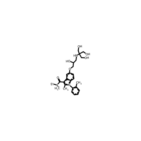 CCN(C)C(=O)c1c(C)n(-c2ccccc2C)c2ccc(OCC(O)CNC(CO)(CO)CO)cc12